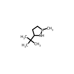 CN1CCC(C(C)(C)C)N1